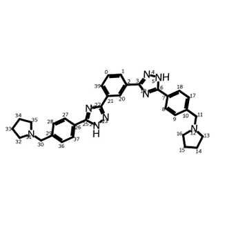 c1cc(-c2n[nH]c(-c3ccc(CN4CCCC4)cc3)n2)cc(-c2n[nH]c(-c3ccc(CN4CCCC4)cc3)n2)c1